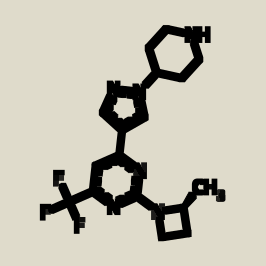 C[C@H]1CCN1c1nc(-c2cnn(C3CCNCC3)c2)cc(C(F)(F)F)n1